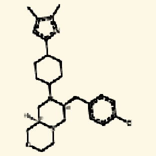 Cc1cc(C2CCC(N3C[C@@H]4COCCN4C[C@@H]3Cc3ccc(Cl)cc3)CC2)nn1C